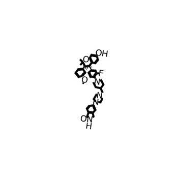 COc1cccc([C@@H]2[C@H](c3ccc(N4CCC(CN5CCN(c6ccc7c(c6)CNC7=O)CC5)CC4)c(F)c3)c3ccc(O)cc3OC2(C)C)c1